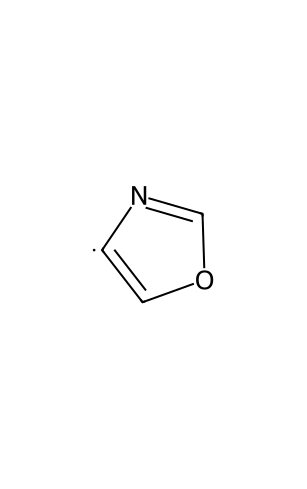 [c]1cocn1